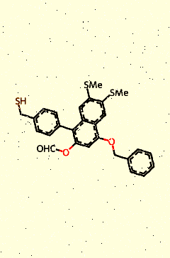 CSc1cc2c(OCc3ccccc3)cc(OC=O)c(-c3ccc(CS)cc3)c2cc1SC